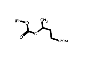 CCCCCCCCC(C)OC(=O)OC(C)C